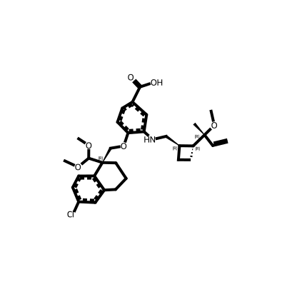 C=C[C@@](C)(OC)[C@@H]1CC[C@H]1CNc1cc(C(=O)O)ccc1OC[C@@]1(C(OC)OC)CCCc2cc(Cl)ccc21